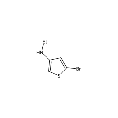 CCNc1csc(Br)c1